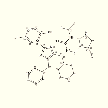 [CH2][C@@H](C)NC(=O)N(C[C@@H]1CNC[C@@H]1F)[C@@H](c1nc(-c2cc(F)ccc2F)cn1Cc1ccccc1)C1CCOCC1